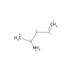 C=CCC(C)N